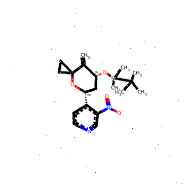 C=C1[C@H](O[Si](C)(C)C(C)(C)C)C[C@H](c2ccncc2[N+](=O)[O-])OC12CC2